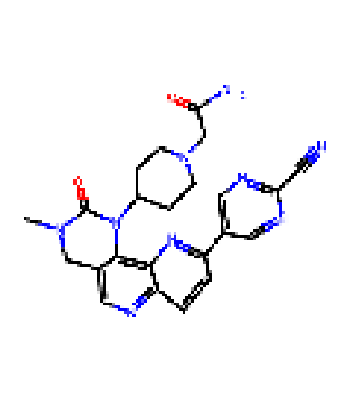 CN1Cc2cnc3ccc(-c4cnc(C#N)nc4)nc3c2N(C2CCN(CC(N)=O)CC2)C1=O